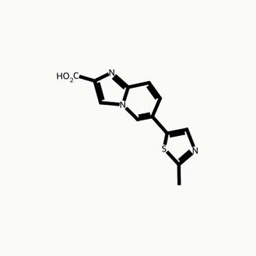 Cc1ncc(-c2ccc3nc(C(=O)O)cn3c2)s1